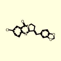 O=c1c2cc(Cl)ccc2nc2n1CCC2=Cc1ccc2c(c1)OCO2